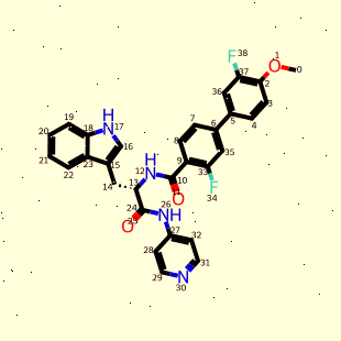 COc1ccc(-c2ccc(C(=O)N[C@@H](Cc3c[nH]c4ccccc34)C(=O)Nc3ccncc3)c(F)c2)cc1F